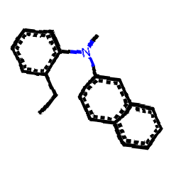 CCc1ccccc1N(C)c1ccc2ccccc2c1